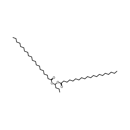 CCCCCCCCCCCCCCCCCCCC(=O)OC(CCC)OC(=O)CCCCCCCCCCCCCCCCCCC